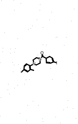 Cc1ccc(N2CCN(C(=O)C3C=CC(I)=CC3)CC2)c(C)c1